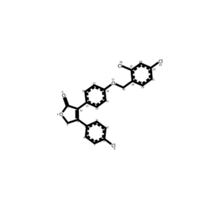 O=C1OCC(c2ccc(Cl)cc2)=C1c1ccc(OCc2ccc(Cl)cc2Cl)cc1